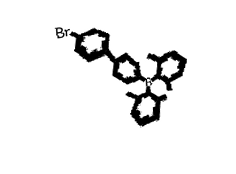 Cc1cccc(C)c1B(c1ccc(-c2ccc(Br)cc2)cc1)c1c(C)cccc1C